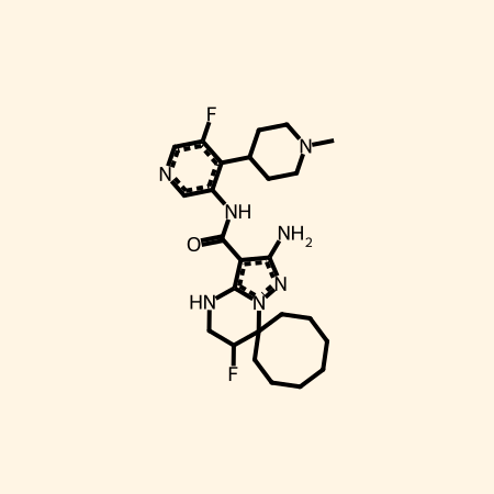 CN1CCC(c2c(F)cncc2NC(=O)c2c(N)nn3c2NCC(F)C32CCCCCCC2)CC1